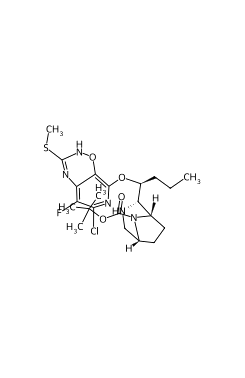 CCC[C@H](Oc1nc(Cl)c(F)c2c1ONC(SC)=N2)[C@H]1NC[C@H]2CC[C@@H]1N2C(=O)OC(C)(C)C